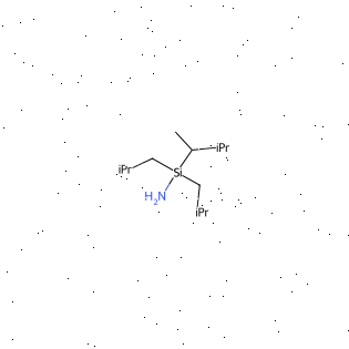 CC(C)C[Si](N)(CC(C)C)C(C)C(C)C